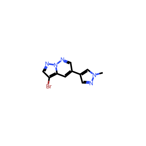 Cn1cc(-c2cnn3ncc(Br)c3c2)cn1